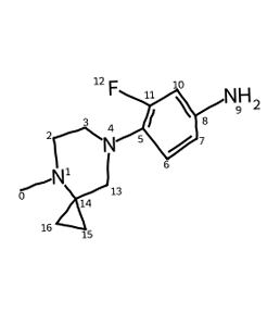 CN1CCN(c2ccc(N)cc2F)CC12CC2